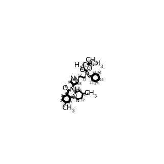 Cc1ccc(C(=O)Nc2cnn(CCN(C(=O)OC(C)(C)C)c3ccccc3)c2)c(N2CCC(C)CC2)c1